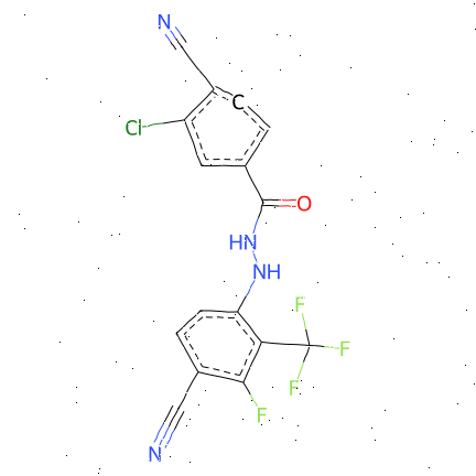 N#Cc1ccc(C(=O)NNc2ccc(C#N)c(F)c2C(F)(F)F)cc1Cl